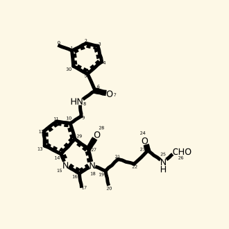 Cc1cccc(C(=O)NCc2cccc3nc(C)n(C(C)CCC(=O)NC=O)c(=O)c23)c1